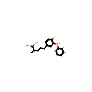 CC(CCCc1ccc(F)c(Oc2ccccc2)c1)C(F)F